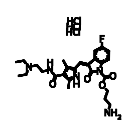 CCN(CC)CCNC(=O)c1c(C)[nH]c(C=C2C(=O)N(C(=O)OCCCN)c3ccc(F)cc32)c1C.Cl.Cl.Cl